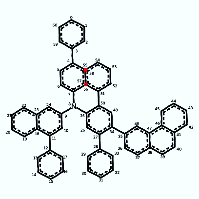 c1ccc(-c2ccc(N(c3cc(-c4ccccc4)c4ccccc4c3)c3cc(-c4ccccc4)c(-c4ccc5ccc6ccccc6c5c4)cc3-c3ccccc3)cc2)cc1